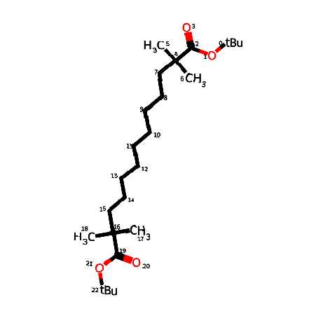 CC(C)(C)OC(=O)C(C)(C)CCCCCCCCCC(C)(C)C(=O)OC(C)(C)C